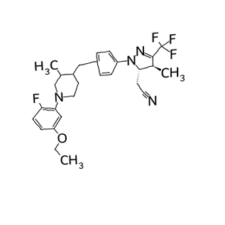 CCOc1ccc(F)c(N2CCC(Cc3ccc(N4N=C(C(F)(F)F)[C@@H](C)[C@@H]4CC#N)cc3)C(C)C2)c1